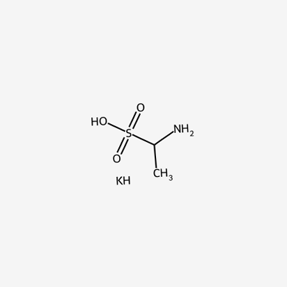 CC(N)S(=O)(=O)O.[KH]